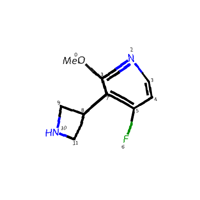 COc1nccc(F)c1C1CNC1